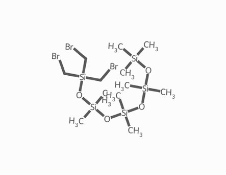 C[Si](C)(C)O[Si](C)(C)O[Si](C)(C)O[Si](C)(C)O[Si](CBr)(CBr)CBr